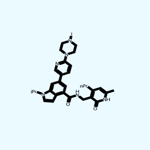 CCCc1cc(C)[nH]c(=O)c1CNC(=O)c1cc(-c2ccc(N3CCN(I)CC3)nc2)cc2c1ccn2C(C)C